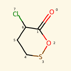 O=C1OSCCC1Cl